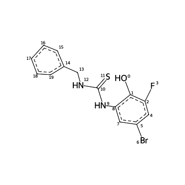 Oc1c(F)cc(Br)cc1NC(=S)NCc1ccccc1